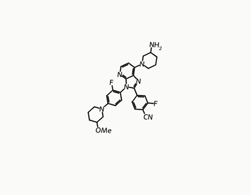 COC1CCCN(c2ccc(-n3c(-c4ccc(C#N)c(F)c4)nc4c(N5CCCC(N)C5)ccnc43)c(F)c2)C1